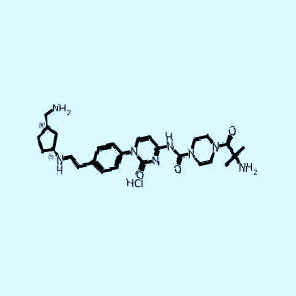 CC(C)(N)C(=O)N1CCN(C(=O)Nc2ccn(-c3ccc(CCN[C@H]4CC[C@@H](CN)C4)cc3)c(=O)n2)CC1.Cl